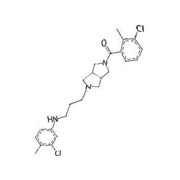 Cc1ccc(NCCCN2CC3CN(C(=O)c4cccc(Cl)c4C)CC3C2)cc1Cl